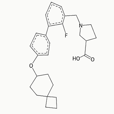 O=C(O)C1CCN(Cc2cccc(-c3ccc(OC4CCC5(CCC5)CC4)cc3)c2F)C1